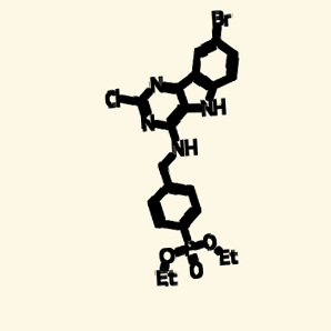 CCOP(=O)(OCC)c1ccc(CNc2nc(Cl)nc3c2[nH]c2ccc(Br)cc23)cc1